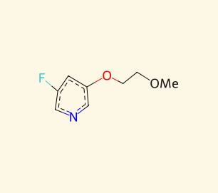 COCCOc1cncc(F)c1